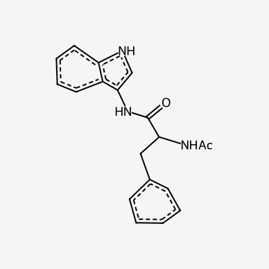 CC(=O)NC(Cc1ccccc1)C(=O)Nc1c[nH]c2ccccc12